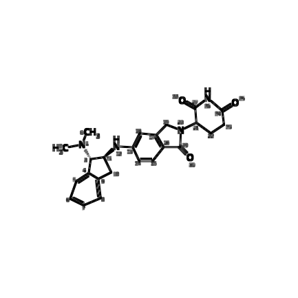 CN(C)[C@H]1c2ccccc2C[C@@H]1Nc1ccc2c(c1)CN(C1CCC(=O)NC1=O)C2=O